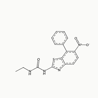 CCNC(=O)Nc1nc2ccc([N+](=O)[O-])c(-c3ccccc3)c2s1